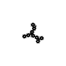 C1=CC2c3cc(-c4ccc5c(c4)c4cc(-c6ccc7sc8ccccc8c7c6)ccc4n5-c4ccc(-c5ccccc5)cc4)ccc3N(c3ccccc3)C2C=C1